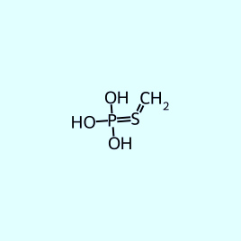 C=S=P(O)(O)O